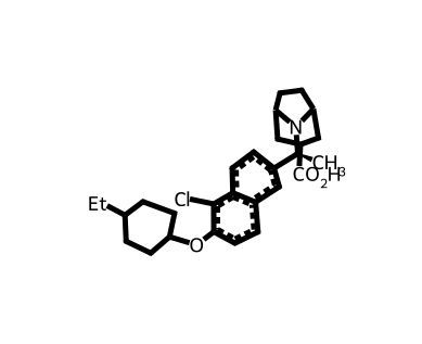 CCC1CCC(Oc2ccc3cc([C@H](C)N4C5CCC4CC(C(=O)O)C5)ccc3c2Cl)CC1